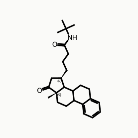 CC(C)(C)NC(=O)CCC[C@@H]1CC(=O)[C@@]2(C)CCC3c4ccccc4CCC3C12